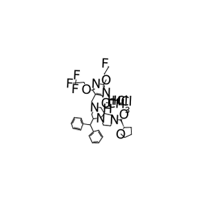 COc1nc(OCCF)nc(OCC(F)(F)F)c1CN1CC(C(c2ccccc2)c2ccccc2)N2CCN(C(=O)[C@H]3CCCO3)C[C@H]2C1.Cl.Cl